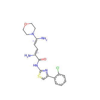 N/C(=C\C=C(/N)N1CCOCC1)C(=O)Nc1nc(-c2ccccc2Cl)cs1